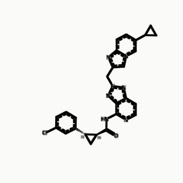 O=C(Nc1nccc2nn(Cc3cn4cc(C5CC5)ccc4n3)nc12)[C@H]1C[C@@H]1c1cccc(Cl)c1